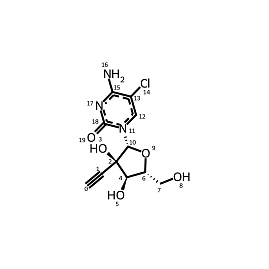 C#C[C@@]1(O)[C@H](O)[C@@H](CO)O[C@H]1n1cc(Cl)c(N)nc1=O